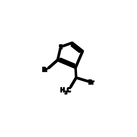 CC(Br)c1ccsc1Br